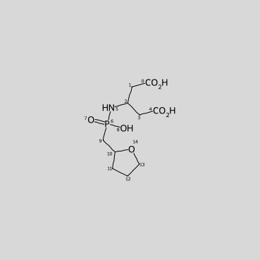 O=C(O)CC(CC(=O)O)NP(=O)(O)CC1CCCO1